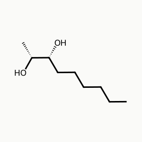 CCCCCC[C@@H](O)[C@@H](C)O